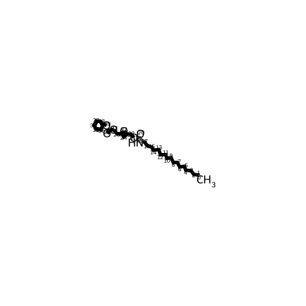 CCCCCCCCCCCCCCCCCCNC(=O)OCC1CC(COC(=O)Oc2ccccc2)O1